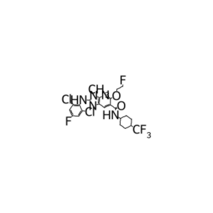 Cn1c(Nc2c(Cl)cc(F)cc2Cl)nc2cc(C(=O)NC3CCC(C(F)(F)F)CC3)c(OCCF)nc21